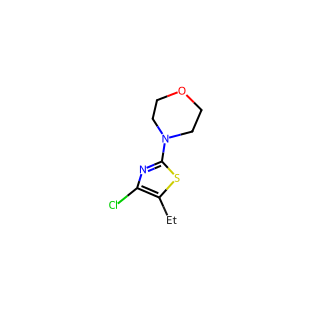 CCc1sc(N2CCOCC2)nc1Cl